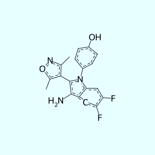 Cc1noc(C)c1-c1c(N)c2cc(F)c(F)cc2n1-c1ccc(O)cc1